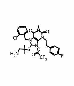 Cn1c(=O)c2c(n(CCc3ccc(F)cc3)c1=O)N(OC(=O)C(F)(F)F)C(SC(C)(C)CN)N2Cc1ccccc1Cl